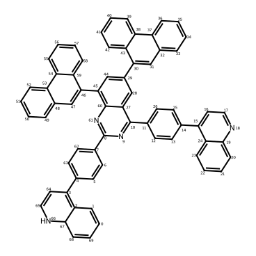 C1=CC2=C(c3ccc(-c4nc(-c5ccc(-c6ccnc7ccccc67)cc5)c5cc(-c6cc7ccccc7c7ccccc67)cc(-c6cc7ccccc7c7ccccc67)c5n4)cc3)C=CNC2C=C1